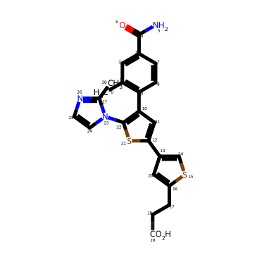 Cc1cc(C(N)=O)ccc1-c1cc(-c2csc(CCC(=O)O)c2)sc1-n1ccnc1C